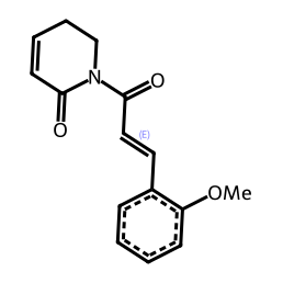 COc1ccccc1/C=C/C(=O)N1CCC=CC1=O